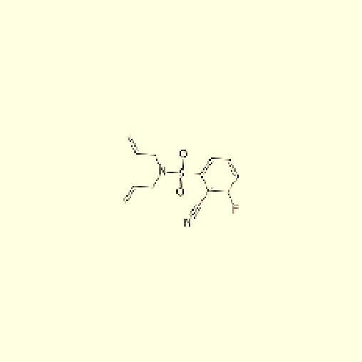 C=CCN(CC=C)S(=O)(=O)c1cccc(F)c1C#N